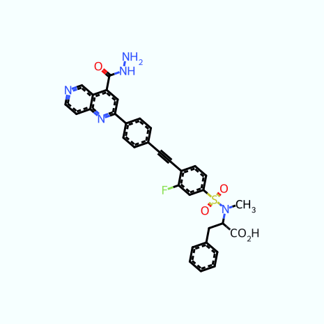 CN(C(Cc1ccccc1)C(=O)O)S(=O)(=O)c1ccc(C#Cc2ccc(-c3cc(C(=O)NN)c4cnccc4n3)cc2)c(F)c1